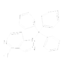 Clc1nccc2c1cnn2C(c1ccccc1)(c1ccccc1)c1ccccc1